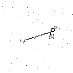 CCCCCCCCCCCCCCCCN(C(=O)CO)c1ccc(C)cc1